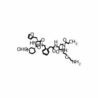 C=CC(=O)NC[C@H](NC(=O)Cc1ccccc1CNC(=O)[C@H](Cc1ccco1)NC(=O)[C@@H]1CCCN(C=O)C1)C(=O)NCCOCCN